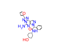 Nc1nc2c(cnn2C(C(=O)N[C@H]2CC[C@@H](O)CC2)c2ccccc2)c2nc(-c3ccco3)nn12